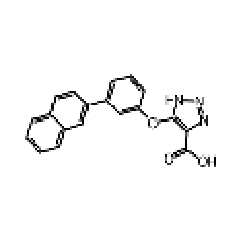 O=C(O)c1nn[nH]c1Oc1cccc(-c2ccc3ccccc3c2)c1